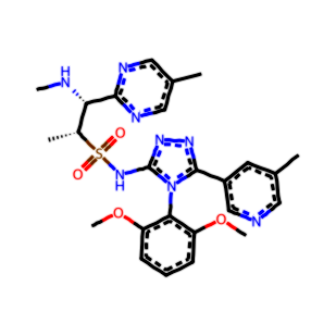 CN[C@H](c1ncc(C)cn1)[C@@H](C)S(=O)(=O)Nc1nnc(-c2cncc(C)c2)n1-c1c(OC)cccc1OC